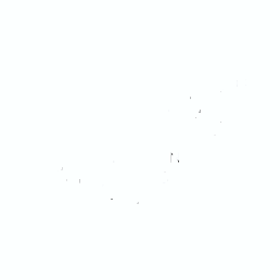 O=C1COC2(CCN(Sc3ccc(OC(F)F)cc3)CC2)C1